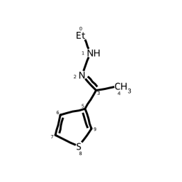 CCNN=C(C)c1ccsc1